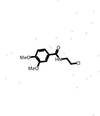 COc1ccc(C(=O)NCCCl)cc1OC